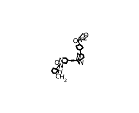 Cc1cccc(C(=O)Nc2cc(C#Cc3cnc4ccc(-c5ccc(C(=O)N6CCOCC6)cc5)nn34)ccn2)c1